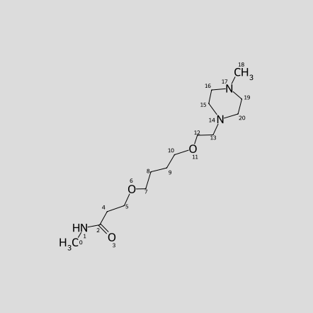 CNC(=O)CCOCCCCOCCN1CCN(C)CC1